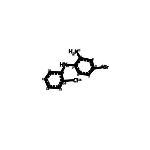 Nc1cc(Br)ccc1Nc1ccccc1Cl